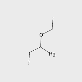 CCO[CH]([Hg])CC